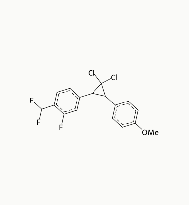 COc1ccc(C2C(c3ccc(C(F)F)c(F)c3)C2(Cl)Cl)cc1